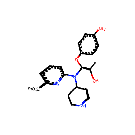 CCOC(=O)c1cccc(N(C2CCNCC2)C(Oc2ccc(O)cc2)C(C)O)n1